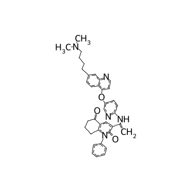 C=C(Nc1ccc(Oc2ccnc3cc(CCCCN(C)C)ccc23)cn1)c1cc2c(n(-c3ccccc3)c1=O)CCCC2=O